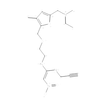 C#CCNC(=C[N+](=O)[O-])NCCSCc1oc(CN(C)CC)cc1C